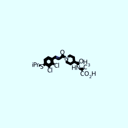 CC(C)Sc1ccc(/C=C/C(=O)N2CCC(C(=O)N[C@@H](C)C(=O)O)CC2)c(Cl)c1Cl